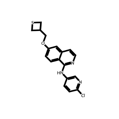 Clc1ccc(Nc2nccc3cc(OCC4CSC4)ccc23)cn1